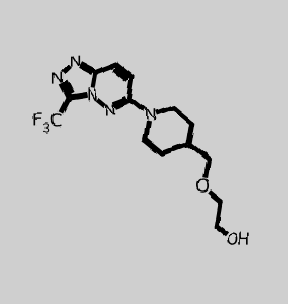 OCCOCC1CCN(c2ccc3nnc(C(F)(F)F)n3n2)CC1